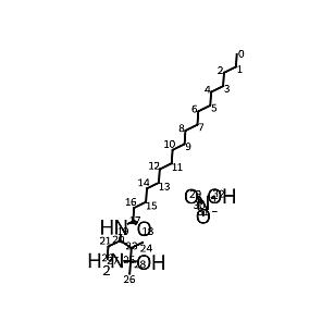 CCCCCCCCCCCCCCCCCC(=O)NC(CC)C(C)C(C)(N)O.O=[N+]([O-])O